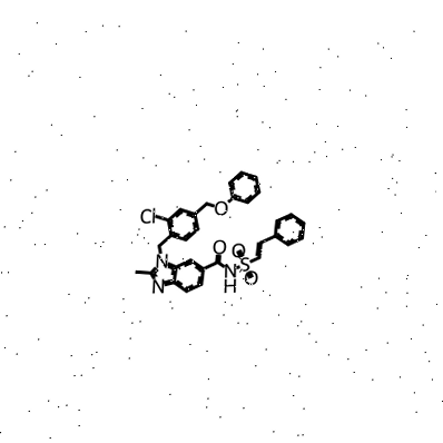 Cc1nc2ccc(C(=O)NS(=O)(=O)C=Cc3ccccc3)cc2n1Cc1ccc(COc2ccccc2)cc1Cl